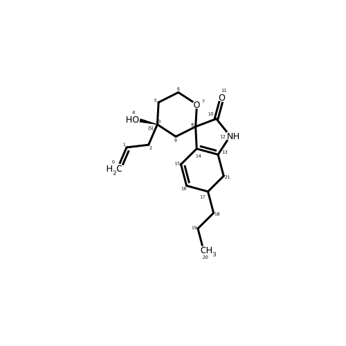 C=CC[C@]1(O)CCOC2(C1)C(=O)NC1=C2C=CC(CCC)C1